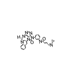 CN(C(=O)/C=C/CN(C)C1CC1)c1cccc(-n2c(=O)n(-c3cnc4ccccc4c3)c3c(N)ncnc32)c1